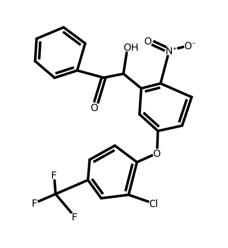 O=C(c1ccccc1)C(O)c1cc(Oc2ccc(C(F)(F)F)cc2Cl)ccc1[N+](=O)[O-]